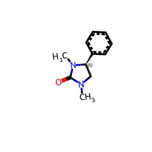 CN1C[C@H](c2ccccc2)N(C)C1=O